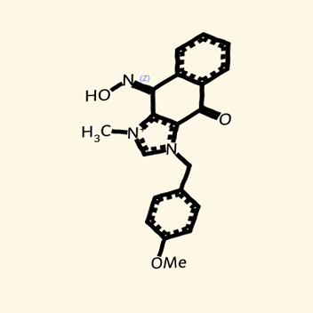 COc1ccc(Cn2c[n+](C)c3c2C(=O)c2ccccc2/C3=N/O)cc1